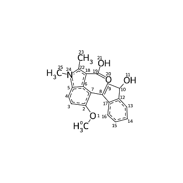 COc1ccc2c(c1C1=CC(O)c3ccccc31)c(C(=O)O)c(C)n2C